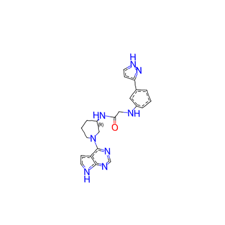 O=C(CNc1cccc(-c2cc[nH]n2)c1)N[C@@H]1CCCN(c2ncnc3[nH]ccc23)C1